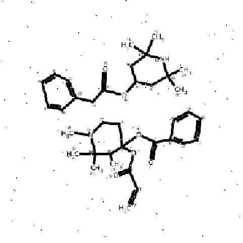 C=CC(=O)OC1(OC(=O)c2ccccc2)CCN(C)C(C)(C)C1C.CC1(C)CC(OC(=O)Cc2ccccc2)CC(C)(C)N1